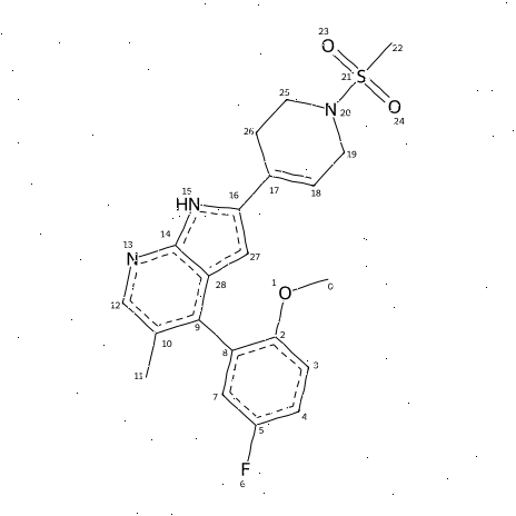 COc1ccc(F)cc1-c1c(C)cnc2[nH]c(C3=CCN(S(C)(=O)=O)CC3)cc12